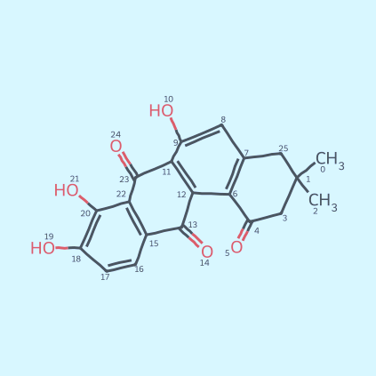 CC1(C)CC(=O)c2c(cc(O)c3c2C(=O)c2ccc(O)c(O)c2C3=O)C1